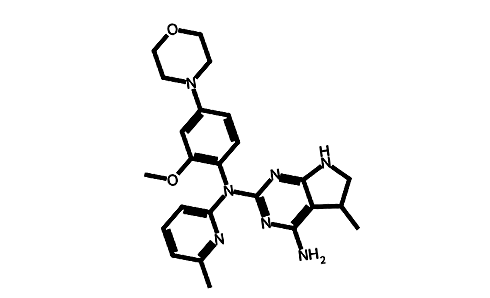 COc1cc(N2CCOCC2)ccc1N(c1cccc(C)n1)c1nc(N)c2c(n1)NCC2C